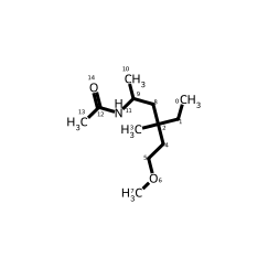 CCC(C)(CCOC)CC(C)NC(C)=O